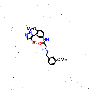 COc1cccc(CCNCC(=O)Nc2ccc(OC)c(-c3c(Br)cnn3C)c2)c1